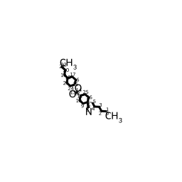 CCCCCC[C@]1(C#N)CC[C@H](C(=O)OC2CCC(CCCC)CC2)CC1